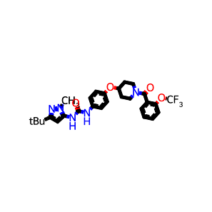 Cn1nc(C(C)(C)C)cc1NC(=O)Nc1ccc(OC2CCN(C(=O)c3ccccc3OC(F)(F)F)CC2)cc1